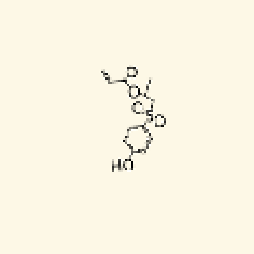 C=CC(=O)OC(C)CS(=O)(=O)c1ccc(O)cc1